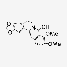 COc1ccc2c(c1OC)C(O)N1CCc3cc4c(cc3C1=C2)OCO4